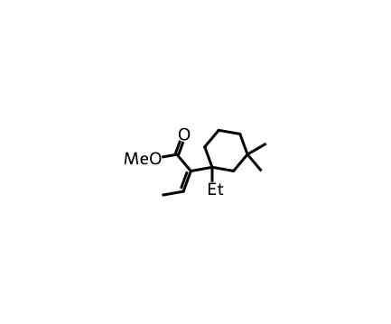 C/C=C(\C(=O)OC)C1(CC)CCCC(C)(C)C1